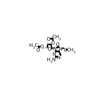 COCn1c(=O)n([C@@H]2O[C@H](COC(C)=O)C[C@H]2OC(C)=O)c2nc(N)ncc21